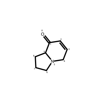 O=C1C=CCN2CCCC12